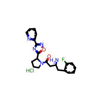 Cl.NC(CC(=O)N1CCCC1c1nc(-c2ccccn2)no1)Cc1ccccc1F